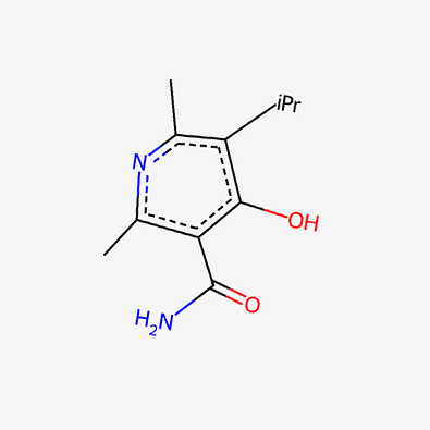 Cc1nc(C)c(C(C)C)c(O)c1C(N)=O